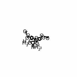 CC1(C)CC(N(C(=O)c2ccc(C(=O)OCC3CO3)cc2)C(=O)c2ccc(C(=O)OCC3CO3)cc2)CC(C)(CN)C1